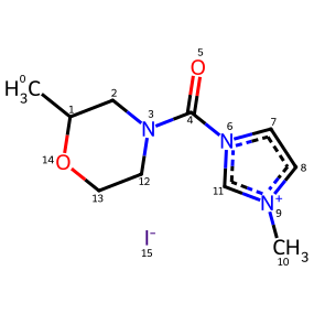 CC1CN(C(=O)n2cc[n+](C)c2)CCO1.[I-]